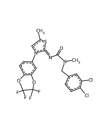 Cc1cn(-c2ccc3c(c2)OC(F)(F)C(F)(F)O3)c(=NC(=O)N(C)Cc2ccc(Cl)c(Cl)c2)s1